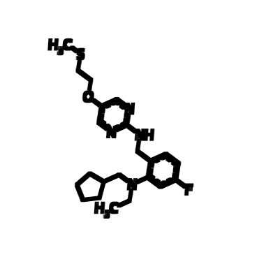 CCN(CC1CCCC1)c1cc(F)ccc1CNc1ncc(OCCSC)cn1